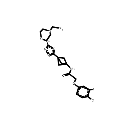 O=C(COc1ccc(Cl)c(F)c1)NC12CC(c3nnc([C@@H]4CN(CC(F)(F)F)CCO4)o3)(C1)C2